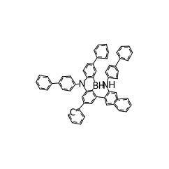 B1c2cc(-c3ccccc3)ccc2N(c2ccc(-c3ccccc3)cc2)c2cc(-c3ccccc3)cc(-c3cc4ccccc4cc3Nc3ccc(-c4ccccc4)cc3)c21